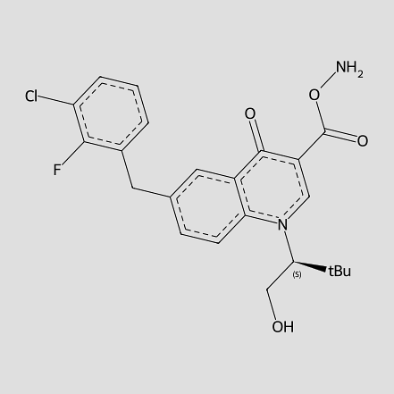 CC(C)(C)[C@@H](CO)n1cc(C(=O)ON)c(=O)c2cc(Cc3cccc(Cl)c3F)ccc21